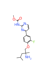 COC(=O)Nc1nccc(-c2ccc(OCC(C)(N)CC(C)C)c(F)c2)n1